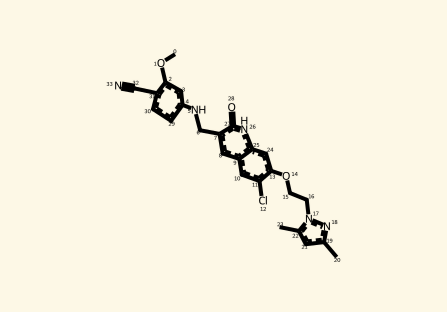 COc1cc(NCc2cc3cc(Cl)c(OCCn4nc(C)cc4C)cc3[nH]c2=O)ccc1C#N